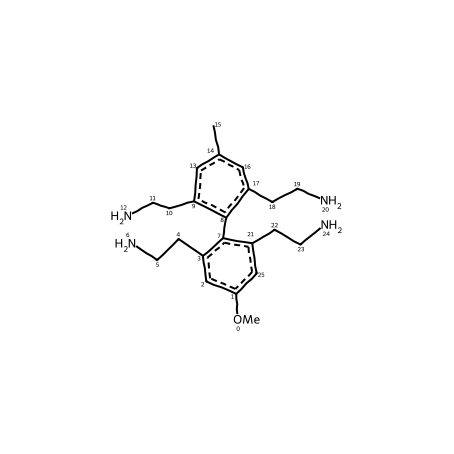 COc1cc(CCN)c(-c2c(CCN)cc(C)cc2CCN)c(CCN)c1